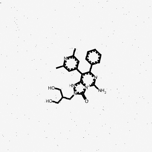 Cc1cc(-c2c(-c3ccccc3)nc(N)[n+]3c(=O)n(CC(CO)CO)[nH]c23)cc(C)n1